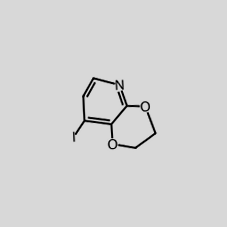 Ic1ccnc2c1OCCO2